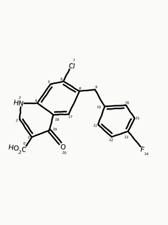 O=C(O)c1c[nH]c2cc(Cl)c(Cc3ccc(F)cc3)cc2c1=O